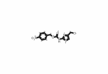 O=C(Nc1nc(CCl)cs1)OCc1ccc([N+](=O)[O-])cc1